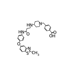 Cc1nc2cc(Oc3ccc(NC(=O)CCNC4CCN(Cc5ccc(C(=O)O)cc5)CC4)cc3)ccc2s1